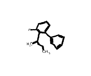 CCC(C)c1c(F)cccc1-c1ccccc1